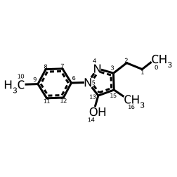 CCCc1nn(-c2ccc(C)cc2)c(O)c1C